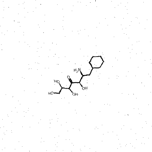 NC(CC1CCCCC1)[C@@H](O)C(=O)C(O)C(O)CO